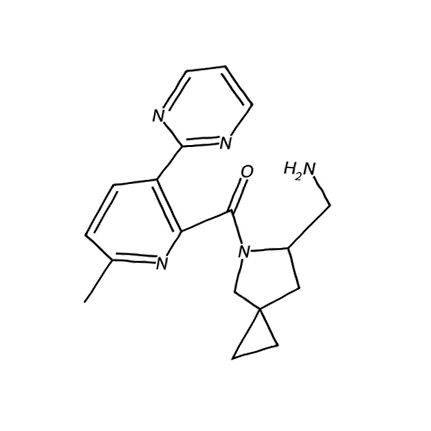 Cc1ccc(-c2ncccn2)c(C(=O)N2CC3(CC3)CC2CN)n1